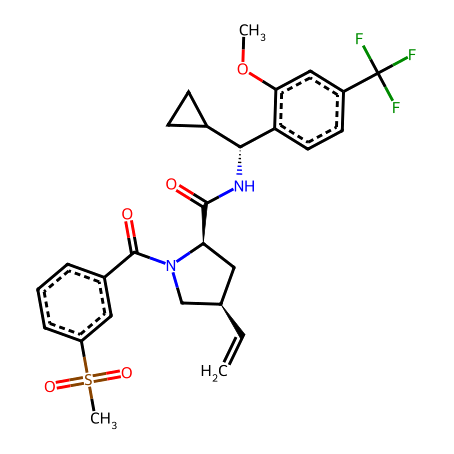 C=C[C@@H]1C[C@H](C(=O)N[C@@H](c2ccc(C(F)(F)F)cc2OC)C2CC2)N(C(=O)c2cccc(S(C)(=O)=O)c2)C1